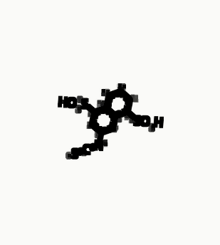 O=S(=O)(O)c1cc(N=C=S)cc2c(S(=O)(=O)O)cccc12